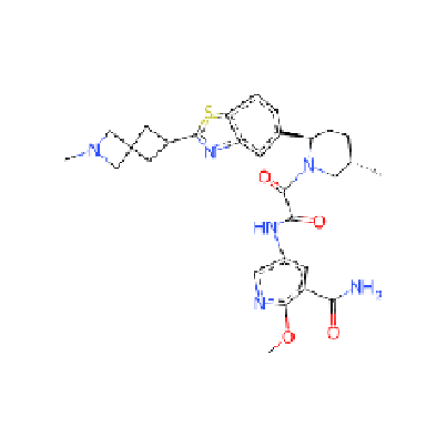 COc1ncc(NC(=O)C(=O)N2C[C@@H](C)CC[C@@H]2c2ccc3sc(C4CC5(C4)CN(C)C5)nc3c2)cc1C(N)=O